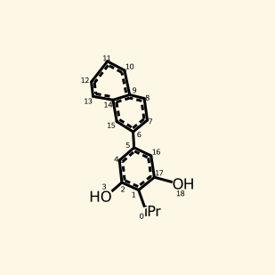 CC(C)c1c(O)cc(-c2ccc3ccccc3c2)cc1O